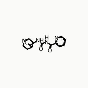 O=C(NC(=O)c1ccccn1)NC1CN2CCC1CC2